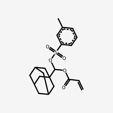 C=CC(=O)OC(OS(=O)(=O)c1cccc(C)c1)C12CC3CC(CC(C3)C1)C2